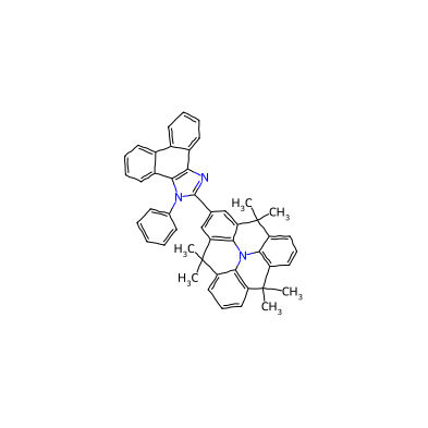 CC1(C)c2cccc3c2N2c4c1cccc4C(C)(C)c1cc(-c4nc5c6ccccc6c6ccccc6c5n4-c4ccccc4)cc(c12)C3(C)C